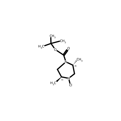 C[C@@H]1CN(Cl)[C@@H](C)CN1C(=O)OC(C)(C)C